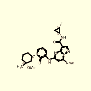 CNc1cc(Nc2cccn([C@H]3CCC[C@@](C)(OC)C3)c2=O)nc2c(C(=O)N[C@@H]3C[C@@H]3F)cnn12